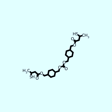 CC(S)CC(=O)OCC1CCC(COC(=O)OCC2CCC(COC(=O)CC(C)S)CC2)CC1